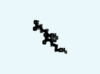 CCCCCC(=O)[O-].CCCCCC(=O)[O-].[Li+].[Li+]